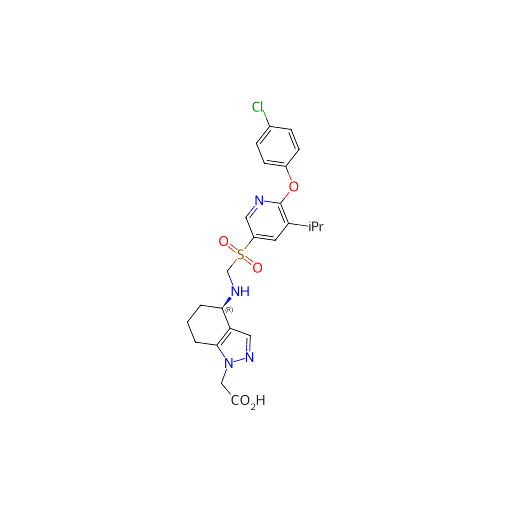 CC(C)c1cc(S(=O)(=O)CN[C@@H]2CCCc3c2cnn3CC(=O)O)cnc1Oc1ccc(Cl)cc1